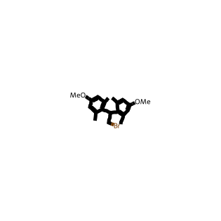 COc1cc(C)c(C(CBr)c2c(C)cc(OC)cc2C)c(C)c1